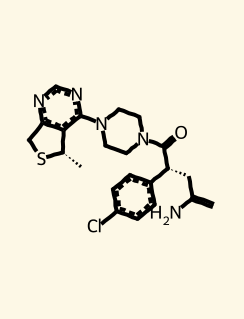 C=C(N)C[C@@H](C(=O)N1CCN(c2ncnc3c2[C@H](C)SC3)CC1)c1ccc(Cl)cc1